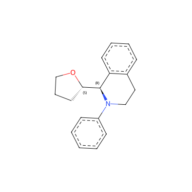 c1ccc(N2CCc3ccccc3[C@@H]2[C@@H]2CCCO2)cc1